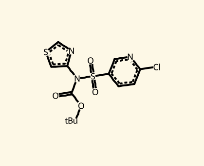 CC(C)(C)OC(=O)N(c1cscn1)S(=O)(=O)c1ccc(Cl)nc1